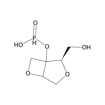 O=[PH](O)OC12COC1CO[C@@H]2CO